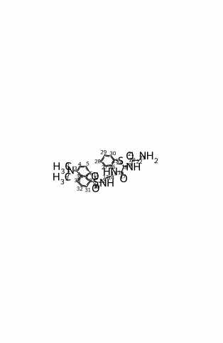 CN(C)c1cccc2c(S(=O)(=O)NCCNC(=O)C(NC(=O)CN)Sc3ccccc3)cccc12